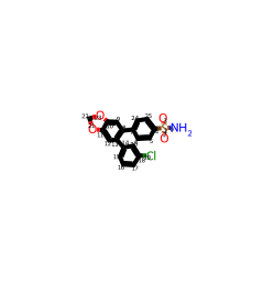 NS(=O)(=O)c1ccc(-c2cc3c(cc2-c2cccc(Cl)c2)OCO3)cc1